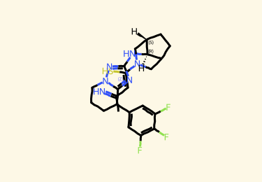 CC(=N)/C=C(\S)N1CC2CC[C@@H](C1)[C@@H]2Nc1nc2n(n1)CCCC2c1cc(F)c(F)c(F)c1